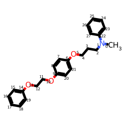 CN(CCCOc1ccc(OCCOc2ccccc2)cc1)c1ccccc1